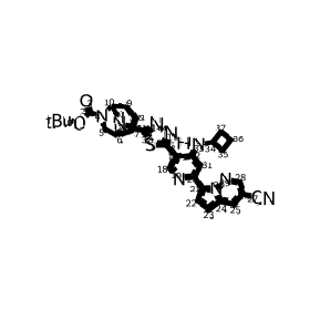 CC(C)(C)OC(=O)N1CC2CCCC1CN2c1nnc(-c2cnc(-c3ccc4cc(C#N)cnn34)cc2NC2CCC2)s1